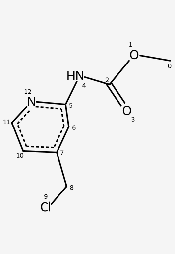 COC(=O)Nc1cc(CCl)ccn1